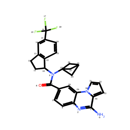 Nc1nc2ccc(C(=O)N(C3CCc4cc(C(F)(F)F)ccc43)C34CC(C3)C4)cc2n2cccc12